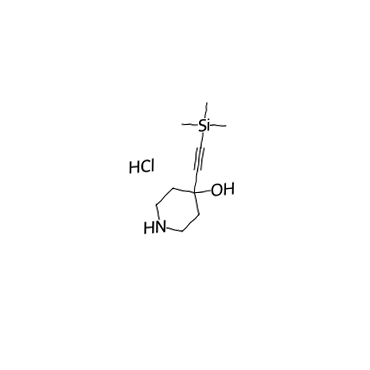 C[Si](C)(C)C#CC1(O)CCNCC1.Cl